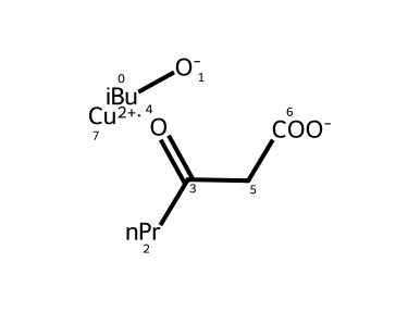 CCC(C)[O-].CCCC(=O)CC(=O)[O-].[Cu+2]